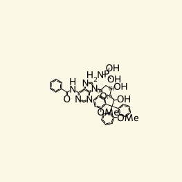 COc1ccccc1C(c1ccccc1)(c1ccccc1OC)C(O)[C@H]1O[C@@H](n2cnc3c(NC(=O)c4ccccc4)ncnc32)C[C@@H]1O.NP(O)O